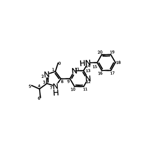 Cc1nc(C(C)C)[nH]c1-c1ccnc(Nc2ccccc2)n1